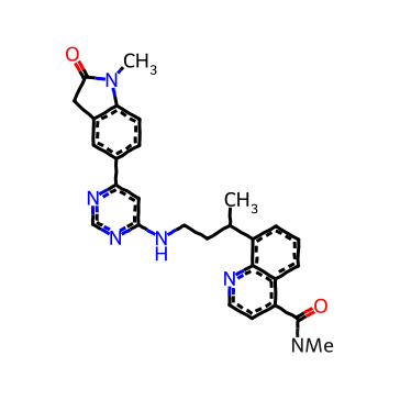 CNC(=O)c1ccnc2c(C(C)CCNc3cc(-c4ccc5c(c4)CC(=O)N5C)ncn3)cccc12